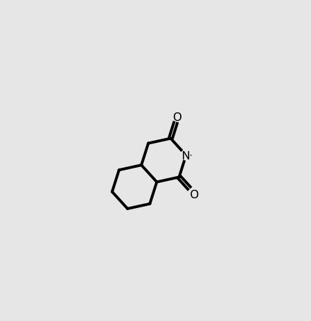 O=C1CC2CCCCC2C(=O)[N]1